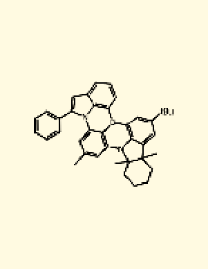 Cc1cc2c3c(c1)-n1c(-c4ccccc4)cc4cccc(c41)B3c1cc(C(C)(C)C)cc3c1N2C1(C)CCCCC31C